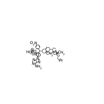 CC(C)CCC[C@@H](C)[C@H]1CCC2C3CC=C4CC(C(c5ccc([N+](=O)[O-])cc5)[C@H]5O[C@@H](n6cnc7c(N)ncnc76)C[C@@H]5OP(=O)(O)O)CC[C@]4(C)C3CC[C@@]21C